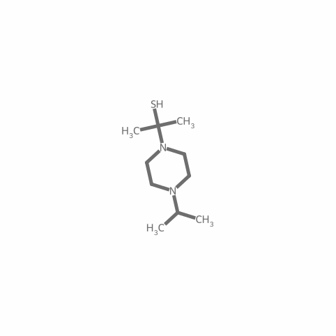 CC(C)N1CCN(C(C)(C)S)CC1